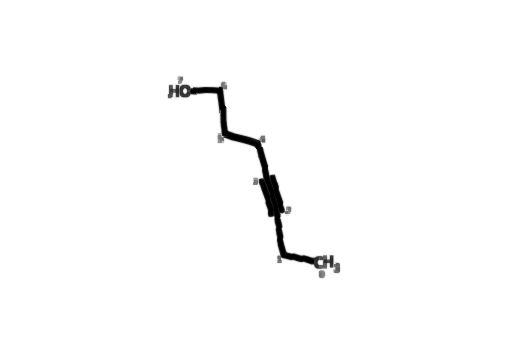 CCC#CCCCO